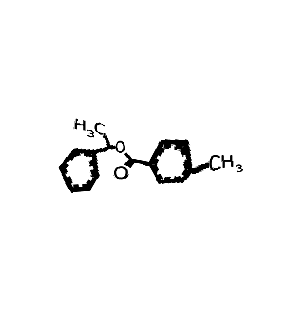 Cc1ccc(C(=O)OC(C)c2ccccc2)cc1